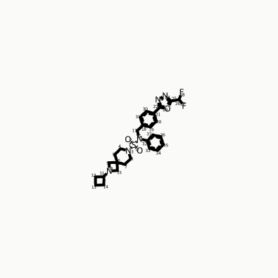 O=S(=O)(N1CCC2(CC1)CN(C1CCC1)C2)N(Cc1ccc(-c2nnc(C(F)F)o2)cc1)c1ccccc1